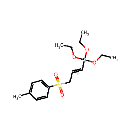 CCO[Si](/C=C/CS(=O)(=O)c1ccc(C)cc1)(OCC)OCC